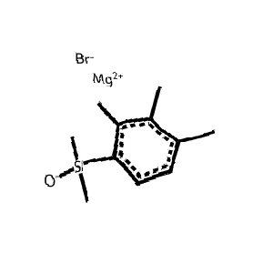 Cc1ccc([Si](C)(C)[O-])c(C)c1C.[Br-].[Mg+2]